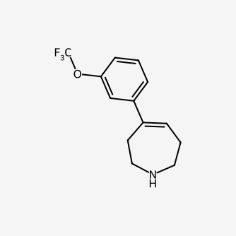 FC(F)(F)Oc1cccc(C2=CCCNCC2)c1